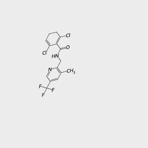 Cc1cc(C(F)(F)F)cnc1CNC(=O)C1=C(Cl)CCC=C1Cl